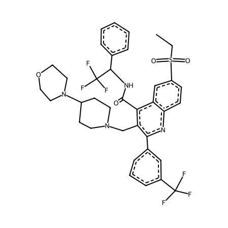 CCS(=O)(=O)c1ccc2nc(-c3cccc(C(F)(F)F)c3)c(CN3CCC(N4CCOCC4)CC3)c(C(=O)NC(c3ccccc3)C(F)(F)F)c2c1